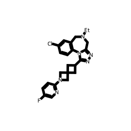 CCN1Cc2cc(Cl)ccc2-n2c(nnc2C2CC3(C2)CN(c2ccc(F)cn2)C3)C1